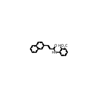 O=C(C=Cc1ccc2ccccc2c1)Nc1ccccc1C(=O)O